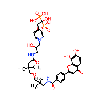 CC(C)(CNC(=O)c1ccc(-c2cc(=O)c3ccc(O)c(O)c3o2)cc1)COCC(C)(C)CC(=O)NCC(O)C[n+]1ccc(CC(O)(P(=O)(O)O)P(=O)(O)O)cc1